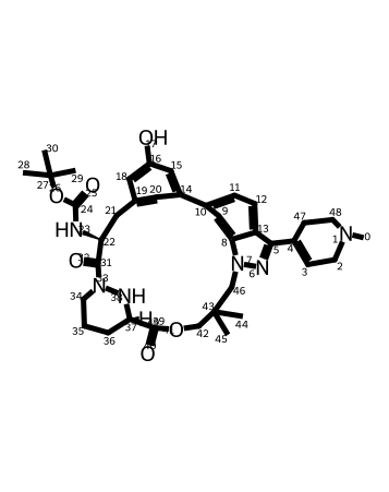 CN1CC=C(c2nn3c4cc(ccc24)-c2cc(O)cc(c2)C[C@H](NC(=O)OC(C)(C)C)C(=O)N2CCC[C@H](N2)C(=O)OCC(C)(C)C3)CC1